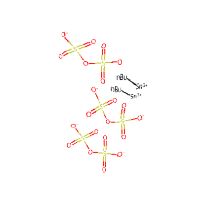 CCC[CH2][Sn+3].CCC[CH2][Sn+3].O=S(=O)([O-])OS(=O)(=O)[O-].O=S(=O)([O-])OS(=O)(=O)[O-].O=S(=O)([O-])OS(=O)(=O)[O-]